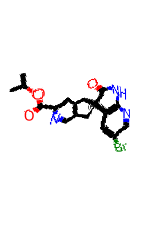 CC(C)OC(=O)c1cc2c(cn1)C[C@@]1(C2)C(=O)Nc2ncc(Br)cc21